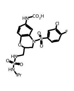 CC(C)NS(=O)(=O)NCC1CN(S(=O)(=O)c2ccc(F)c(Cl)c2)c2cc(NC(=O)O)ccc2O1